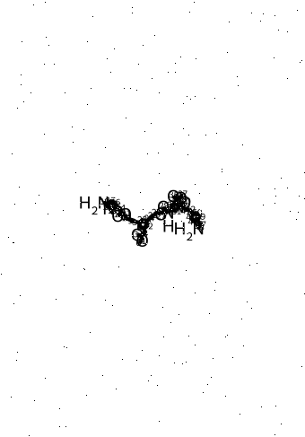 COC(=O)Cc1cc(C#CCOC(=O)Cc2ccc(N)nc2)cc(C#CCOC(=O)NC2CC(C(=O)OC)N(C(=O)CCc3ccc(CN)cc3)C2)c1